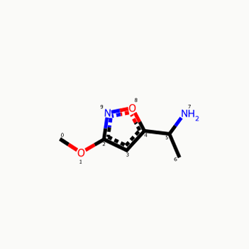 COc1cc(C(C)N)on1